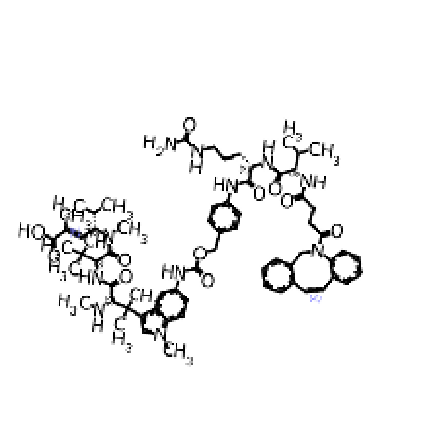 CN[C@H](C(=O)N[C@H](C(=O)N(C)[C@H](/C=C(\C)C(=O)O)C(C)C)C(C)(C)C)C(C)(C)c1cn(C)c2ccc(NC(=O)OCc3ccc(NC(=O)[C@H](CCCNC(N)=O)NC(=O)[C@@H](NC(=O)CCC(=O)N4Cc5ccccc5/C=C\c5ccccc54)C(C)C)cc3)cc12